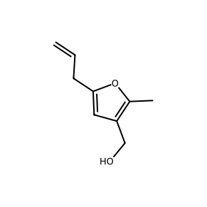 C=CCc1cc(CO)c(C)o1